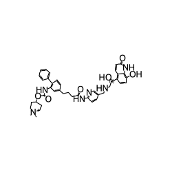 C[N+]1(C)CCC(OC(=O)Nc2cc(CCCC(=O)Nc3ccc(CNC[C@H](O)c4ccc(O)c5[nH]c(=O)ccc45)cn3)ccc2-c2ccccc2)CC1